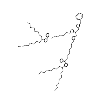 CCCCCCCCC(CCCCCCCC)OC(=O)CCCCCCCOCC(COCc1ccccc1)OCCCCCCCC(=O)OC(CCCCCCCC)CCCCCCCC